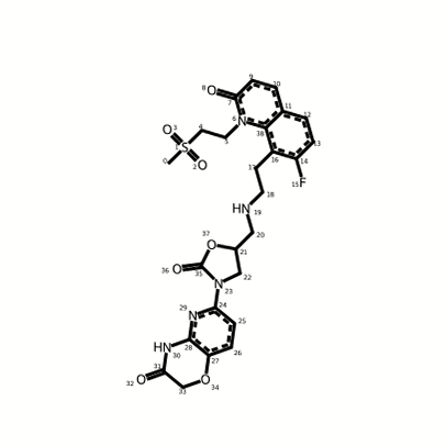 CS(=O)(=O)CCn1c(=O)ccc2ccc(F)c(CCNCC3CN(c4ccc5c(n4)NC(=O)CO5)C(=O)O3)c21